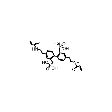 C=CC(=O)NCCc1ccc(-c2ccc(CCNC(=O)C=C)cc2CP(=O)(O)O)c(CP(=O)(O)O)c1